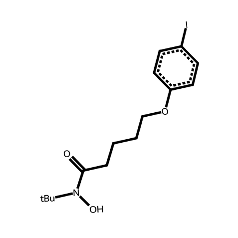 CC(C)(C)N(O)C(=O)CCCCOc1ccc(I)cc1